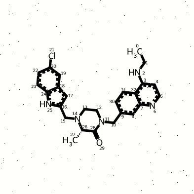 CCNc1ccnc2cc(CN3CCN(Cc4cc5cc(Cl)ccc5[nH]4)[C@@H](C)C3=O)ccc12